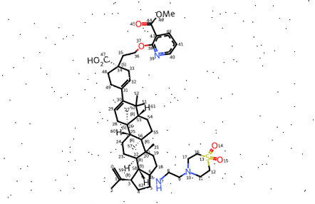 C=C(C)[C@@H]1CC[C@]2(NCCN3CCS(=O)(=O)CC3)CC[C@]3(C)[C@H](CC[C@@H]4[C@@]5(C)CC=C(C6=CC[C@@](CCOc7ncccc7C(=O)OC)(C(=O)O)CC6)C(C)(C)[C@@H]5CC[C@]43C)[C@@H]12